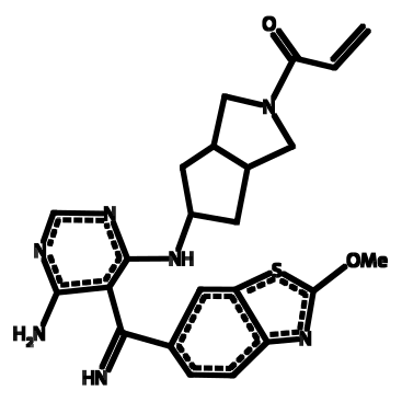 C=CC(=O)N1CC2CC(Nc3ncnc(N)c3C(=N)c3ccc4nc(OC)sc4c3)CC2C1